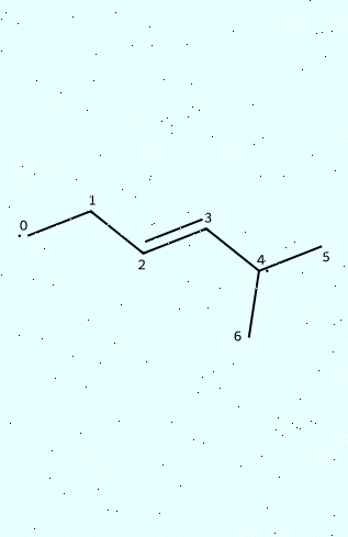 [CH2]CC=C[C](C)C